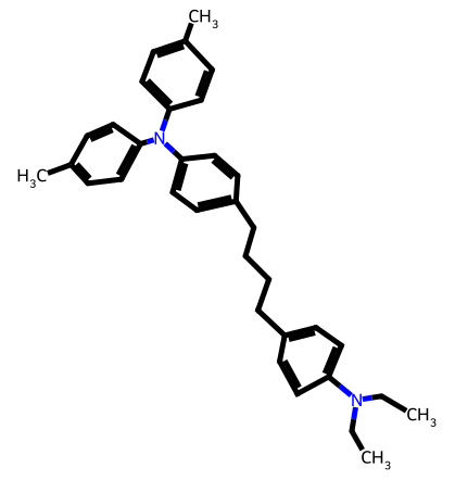 CCN(CC)c1ccc(CCCCc2ccc(N(c3ccc(C)cc3)c3ccc(C)cc3)cc2)cc1